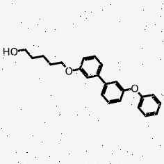 OCCCCCOc1cccc(-c2cccc(Oc3ccccc3)c2)c1